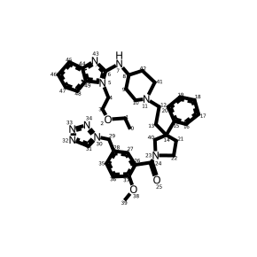 CCOCCn1c(NC2CCN(CCC3(c4ccccc4)CCN(C(=O)c4cc(Cn5cnnn5)ccc4OC)C3)CC2)nc2ccccc21